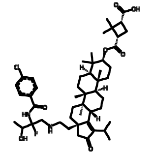 CC(C)C1=C2[C@H]3CC[C@@H]4[C@@]5(C)CC[C@H](OC(=O)[C@H]6C[C@@H](C(=O)O)C6(C)C)C(C)(C)[C@@H]5CC[C@@]4(C)[C@]3(C)CC[C@@]2(CCNCC(F)(NC(=O)c2ccc(Cl)cc2)C(C)O)CC1=O